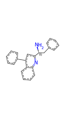 N[C@@H](Cc1ccccc1)c1cc(-c2ccccc2)c2ccccc2n1